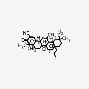 C=C1C[C@@H]2[C@@]3(C)C=C(C#N)C(=O)C(C)(C)[C@@H]3CC[C@@]2(C)[C@]2(C)CC[C@@]3(CCI)CCC(C)(C)C[C@H]3[C@@H]12